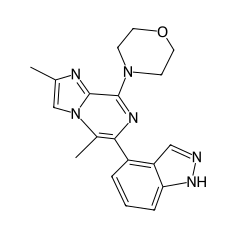 Cc1cn2c(C)c(-c3cccc4[nH]ncc34)nc(N3CCOCC3)c2n1